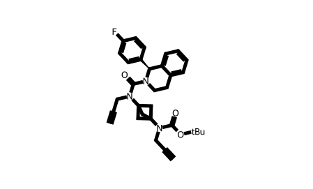 C#CCN(C(=O)OC(C)(C)C)C12CC(N(CC#C)C(=O)N3CCc4ccccc4[C@@H]3c3ccc(F)cc3)(C1)C2